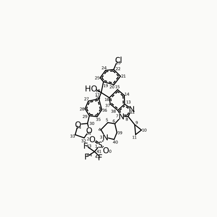 O=S(=O)(N1CCC(n2c(C3CC3)nc3ccc(C(O)(c4ccc(Cl)cc4)c4ccc(C5OCCO5)cc4)cc32)CC1)C(F)(F)F